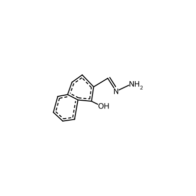 NN=Cc1ccc2ccccc2c1O